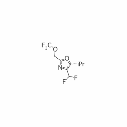 CC(C)c1oc(COC(F)(F)F)nc1C(F)F